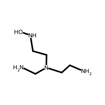 NCCN(CN)CCNO